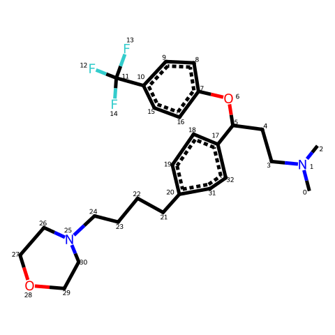 CN(C)CCC(Oc1ccc(C(F)(F)F)cc1)c1ccc(CCCCN2CCOCC2)cc1